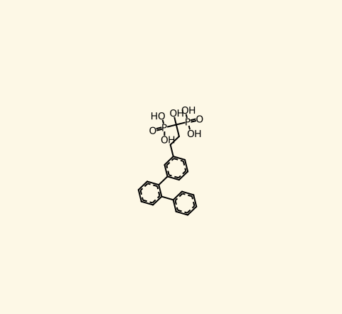 O=P(O)(O)C(O)(CCc1cccc(-c2ccccc2-c2ccccc2)c1)P(=O)(O)O